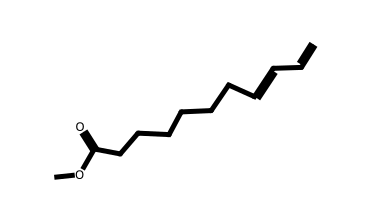 C=CC=CCCCCCCC(=O)OC